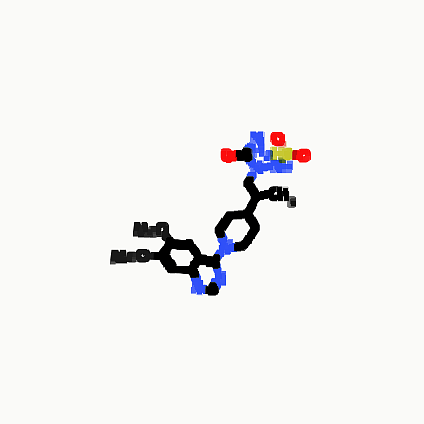 COc1cc2ncnc(N3CCC(C(C)CN(N[SH](=O)=O)C(N)=O)CC3)c2cc1OC